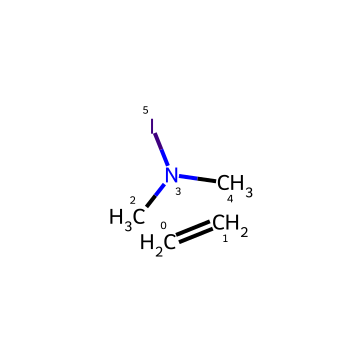 C=C.CN(C)I